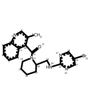 Cc1cnc2ccccc2c1C(=O)N1CCCCC1CNc1ncc(Br)cn1